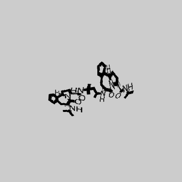 CC(C)NC(=O)[C@@H]1CC[C@H]2c3ccccc3C[C@H](NC(C)CC(C)(C)NC(=O)[C@@H]3CC[C@@H]4c5ccccc5C[C@@H](NC(C)C)C(=O)N43)C(=O)N12